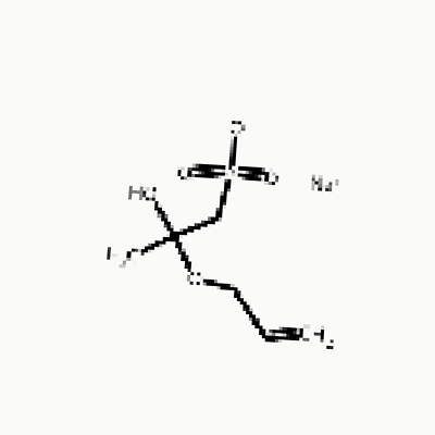 C=CCOC(C)(O)CS(=O)(=O)[O-].[Na+]